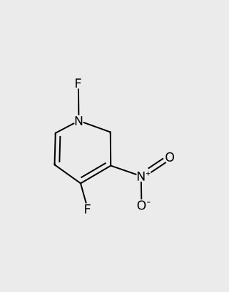 O=[N+]([O-])C1=C(F)C=CN(F)C1